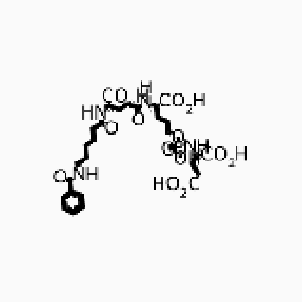 O=C(O)CC[C@H](NP(=O)(O)OCCC[C@H](NC(=O)CC[C@H](NC(=O)CCCCCNC(=O)c1ccccc1)C(=O)O)C(=O)O)C(=O)O